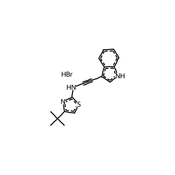 Br.CC(C)(C)c1csc(NC#Cc2c[nH]c3ccccc23)n1